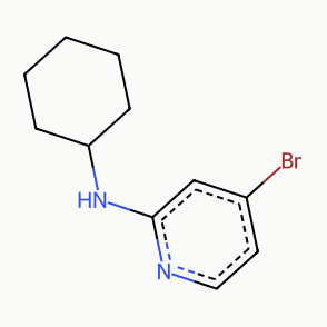 Brc1ccnc(NC2CCCCC2)c1